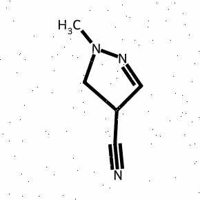 CN1CC(C#N)C=N1